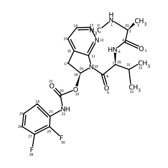 CN[C@@H](C)C(=O)N[C@H](C(=O)N1c2ncccc2C[C@@H]1OC(=O)Nc1cccc(F)c1F)C(C)C